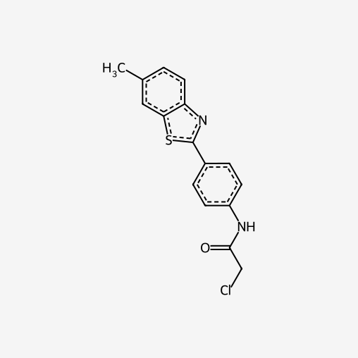 Cc1ccc2nc(-c3ccc(NC(=O)CCl)cc3)sc2c1